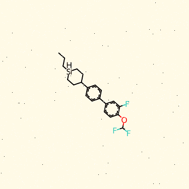 CCC[SiH]1CCC(c2ccc(-c3ccc(OC(F)F)c(F)c3)cc2)CC1